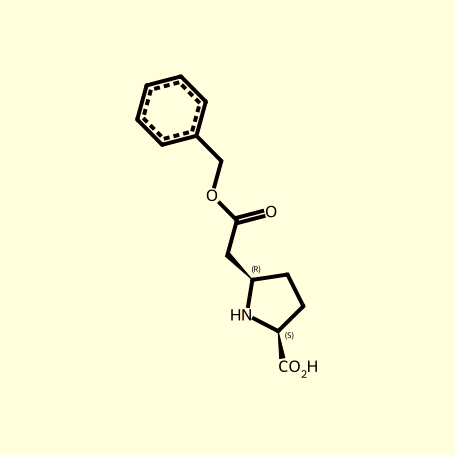 O=C(C[C@H]1CC[C@@H](C(=O)O)N1)OCc1ccccc1